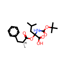 CC(C)CC(NC(=O)OC(C)(C)C)(OC(=O)[C@H](C)Cc1ccccc1)C(=O)O